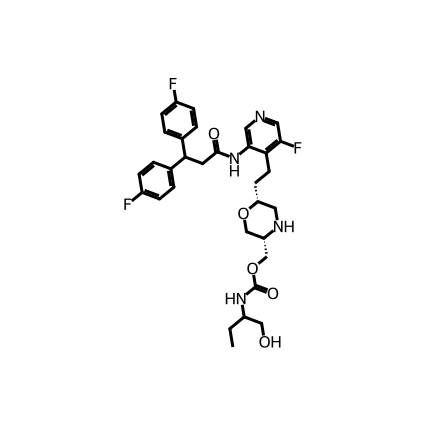 CCC(CO)NC(=O)OC[C@@H]1CO[C@H](CCc2c(F)cncc2NC(=O)CC(c2ccc(F)cc2)c2ccc(F)cc2)CN1